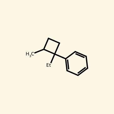 CCC1(c2ccccc2)CC[C]1C